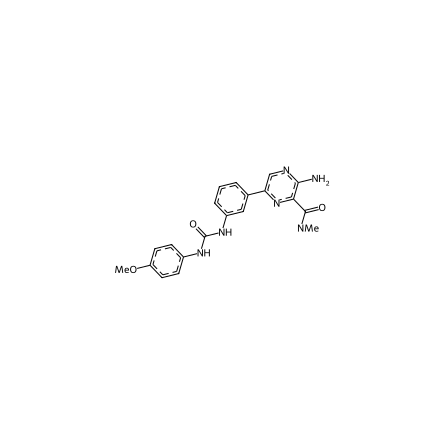 CNC(=O)c1nc(-c2cccc(NC(=O)Nc3ccc(OC)cc3)c2)cnc1N